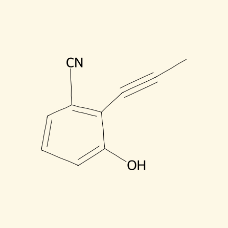 CC#Cc1c(O)cccc1C#N